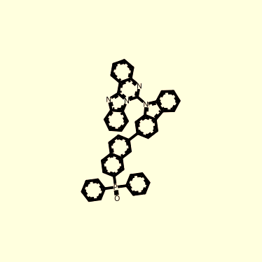 O=P(c1ccccc1)(c1ccccc1)c1ccc2ccc(-c3ccc4c5ccccc5n(-c5nc6ccccc6c6nc7ccccc7n56)c4c3)cc2c1